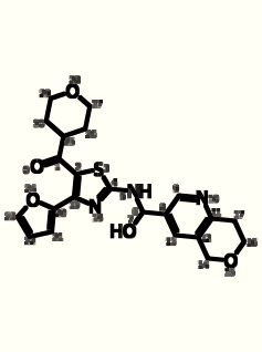 O=C(c1sc(NC(O)c2cnc3c(c2)COCC3)nc1-c1ccco1)C1CCOCC1